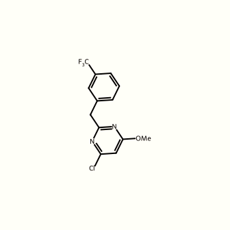 COc1cc(Cl)nc(Cc2cccc(C(F)(F)F)c2)n1